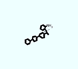 C=C(c1ccc(-c2ccc(-c3ccccc3)cc2)cc1)[C@@H](C)c1ccccc1N